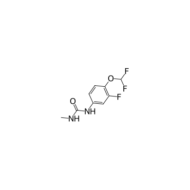 CNC(=O)Nc1ccc(OC(F)F)c(F)c1